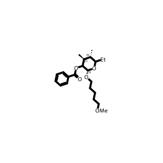 CCC1O[C@H](OCCCCCOC)C(OC(=O)c2ccccc2)[C@@H](C)[C@@H]1C